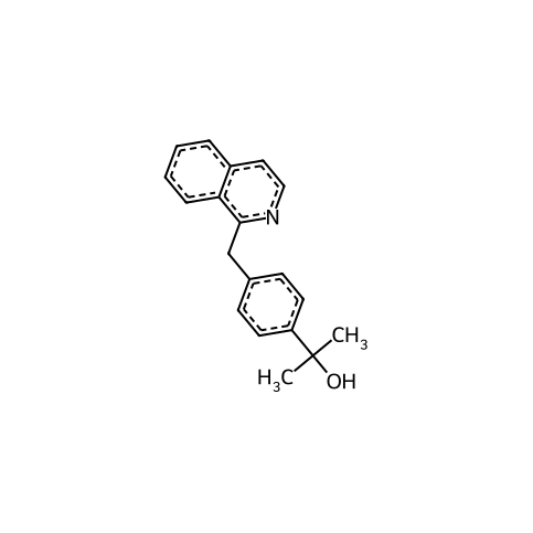 CC(C)(O)c1ccc(Cc2nccc3ccccc23)cc1